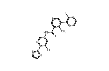 Cc1c(C(=O)Nc2cnc(-n3nccn3)c(Cl)c2)cncc1-c1ccccc1F